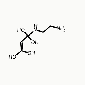 NCCNC(O)(O)C=C(O)O